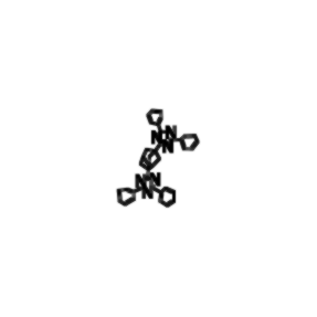 c1ccc(-c2nc(-c3ccccc3)nc(C34CC5CC(C3)C(c3nc(-c6ccccc6)nc(-c6ccccc6)n3)(C5)C4)n2)cc1